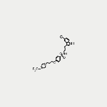 O=S(=O)(NCCCc1c[nH]c2ccc(Cl)cc12)c1ccc(OCCCN2CCN(CC(F)(F)F)CC2)cc1